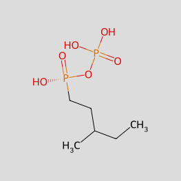 CCC(C)CC[P@](=O)(O)OP(=O)(O)O